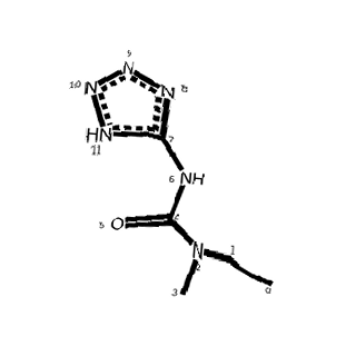 CCN(C)C(=O)Nc1nnn[nH]1